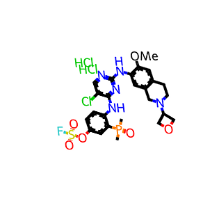 COc1cc2c(cc1Nc1ncc(Cl)c(Nc3ccc(OS(=O)(=O)F)cc3P(C)(C)=O)n1)CN(C1COC1)CC2.Cl.Cl